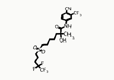 CC(O)(CCCCCS(=O)(=O)CCCC(F)(F)C(F)(F)F)C(=O)Nc1ccc(C#N)c(C(F)(F)F)c1